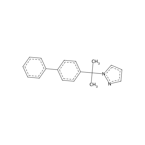 CC(C)(c1ccc(-c2ccccc2)cc1)n1cccn1